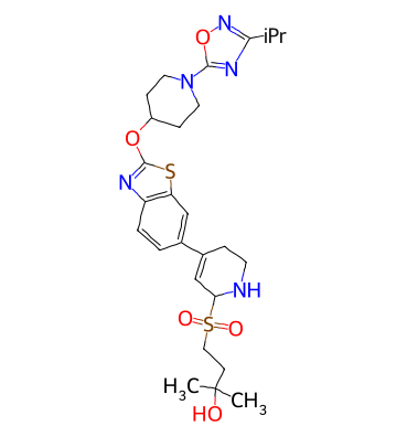 CC(C)c1noc(N2CCC(Oc3nc4ccc(C5=CC(S(=O)(=O)CCC(C)(C)O)NCC5)cc4s3)CC2)n1